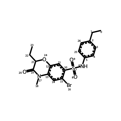 CCc1ccc(NS(=O)(=O)c2cc3c(cc2Br)N(C)C(=O)C(CC)O3)cc1